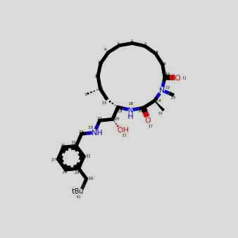 C[C@@H]1CCCCCCCCC(=O)N(C)[C@@H](C)C(=O)N[C@H]([C@H](O)CNCc2cccc(CC(C)(C)C)c2)C1